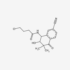 CC1(C)C(=O)c2ccc(C#N)cc2C(NC(=O)CCCCl)C1O